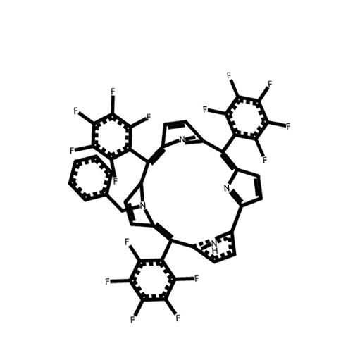 Fc1c(F)c(F)c(C2=C3C=CC(=N3)c3ccc([nH]3)C(c3c(F)c(F)c(F)c(F)c3F)=C3C=CC(C(c4c(F)c(F)c(F)c(F)c4F)=C4C=CC2=N4)N3Cc2ccccc2)c(F)c1F